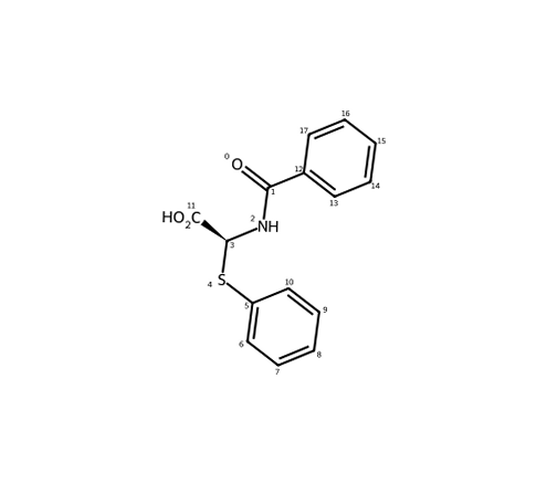 O=C(N[C@@H](Sc1ccccc1)C(=O)O)c1ccccc1